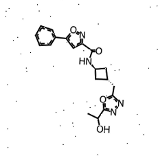 CC(O)c1nnc(C[C@H]2C[C@H](NC(=O)c3cc(-c4ccccc4)on3)C2)o1